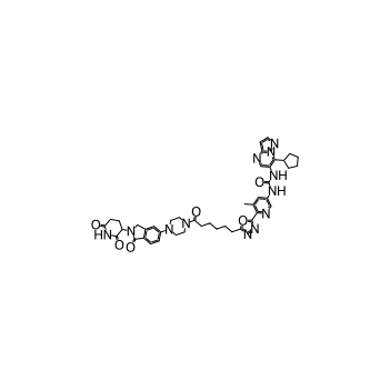 Cc1cc(NC(=O)Nc2cnc3ccnn3c2C2CCCC2)cnc1-c1nnc(CCCCCC(=O)N2CCN(c3ccc4c(c3)CN(C3CCC(=O)NC3=O)C4=O)CC2)o1